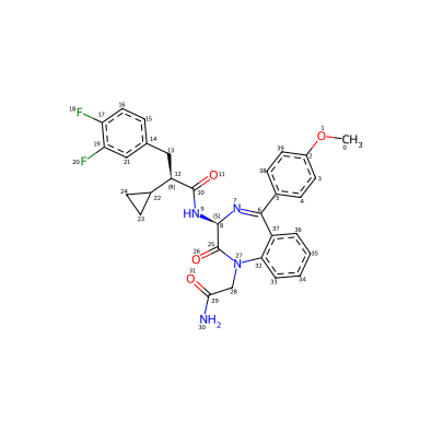 COc1ccc(C2=N[C@H](NC(=O)[C@H](Cc3ccc(F)c(F)c3)C3CC3)C(=O)N(CC(N)=O)c3ccccc32)cc1